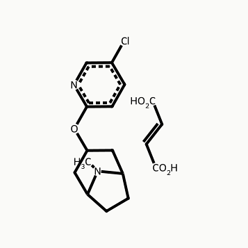 CN1C2CCC1CC(Oc1ccc(Cl)cn1)C2.O=C(O)/C=C/C(=O)O